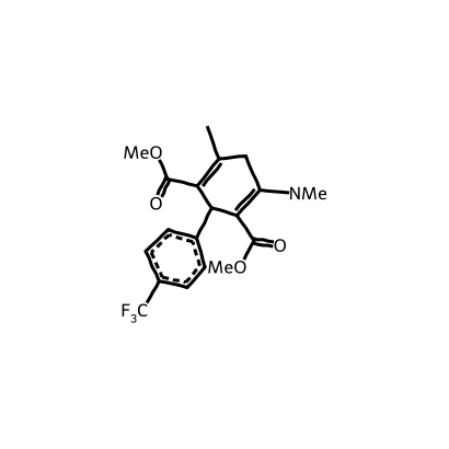 CNC1=C(C(=O)OC)C(c2ccc(C(F)(F)F)cc2)C(C(=O)OC)=C(C)C1